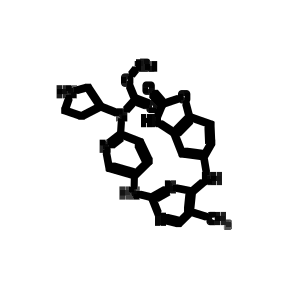 Cc1cnc(Nc2ccc(N(C(=O)OC(C)(C)C)C3CCNC3)nc2)nc1Nc1ccc2oc(=O)[nH]c2c1